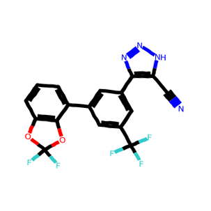 N#Cc1[nH]nnc1-c1cc(-c2cccc3c2OC(F)(F)O3)cc(C(F)(F)F)c1